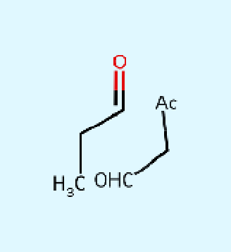 CC(=O)CC=O.CCC=O